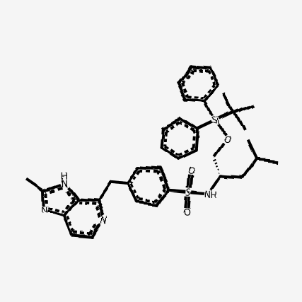 Cc1nc2ccnc(Cc3ccc(S(=O)(=O)N[C@H](CO[Si](c4ccccc4)(c4ccccc4)C(C)(C)C)CC(C)C)cc3)c2[nH]1